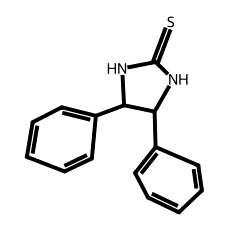 S=C1NC(c2ccccc2)C(c2ccccc2)N1